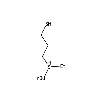 CCCC[SH](CC)CCCS